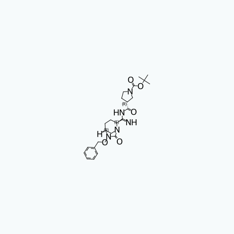 CC(C)(C)OC(=O)N1CC[C@@H](C(=O)NC(=N)[C@@H]2CC[C@@H]3CN2C(=O)N3OCc2ccccc2)C1